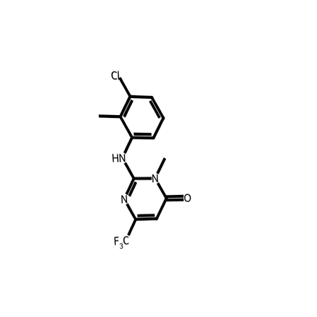 Cc1c(Cl)cccc1Nc1nc(C(F)(F)F)cc(=O)n1C